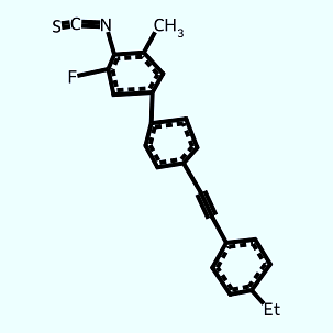 CCc1ccc(C#Cc2ccc(-c3cc(C)c(N=C=S)c(F)c3)cc2)cc1